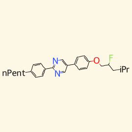 CCCCCc1ccc(-c2ncc(-c3ccc(OCC(F)CC(C)C)cc3)cn2)cc1